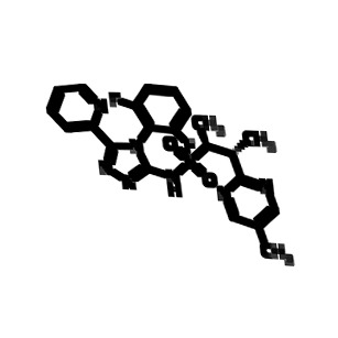 Cc1cnc([C@@H](C)[C@H](C)S(=O)(=O)Nc2nnc(-c3ccccn3)n2-c2c(F)cccc2F)nc1